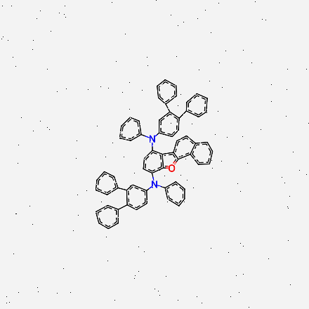 c1ccc(-c2ccc(N(c3ccccc3)c3ccc(N(c4ccccc4)c4ccc(-c5ccccc5)c(-c5ccccc5)c4)c4c3oc3c5ccccc5ccc34)cc2-c2ccccc2)cc1